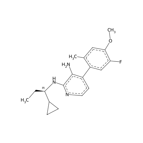 CC[C@@H](Nc1nccc(-c2cc(F)c(OC)cc2C)c1N)C1CC1